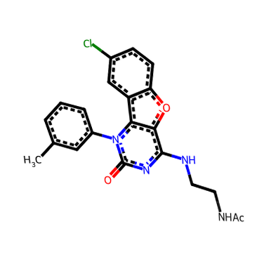 CC(=O)NCCNc1nc(=O)n(-c2cccc(C)c2)c2c1oc1ccc(Cl)cc12